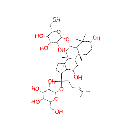 CC(C)=CCC[C@](C)(OC1OC(CO)C(O)C(O)C1O)C1CC[C@]2(C)C1C(O)CC1[C@@]3(C)CCC(O)C(C)(C)C3C(OC3OC(CO)C(O)C(O)C3O)C[C@]12C